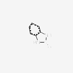 [O-][S+]1Nc2ccccc2N1